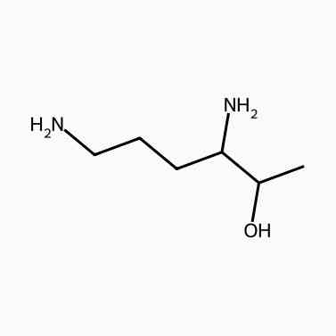 CC(O)C(N)CCCN